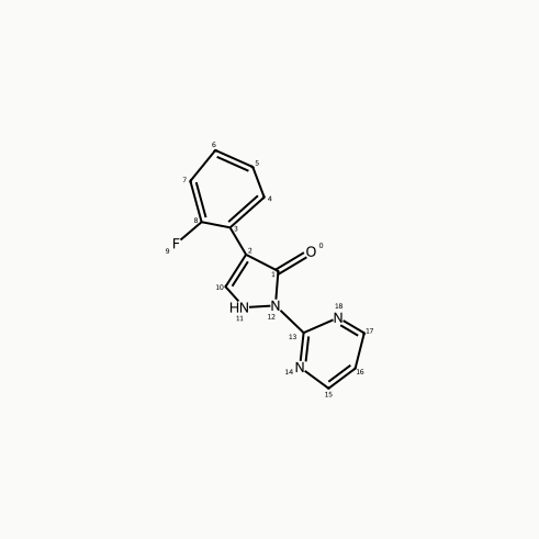 O=c1c(-c2ccccc2F)c[nH]n1-c1ncccn1